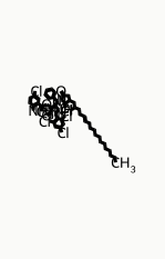 CCCCCCCCCCCCC=CCCC(Cl)CC1CC(=O)N(N(c2ccccc2)c2[nH]n(-c3c(Cl)cc(Cl)cc3Cl)c(=O)c2OC(=O)c2cc(Cl)ccc2N)C1=O